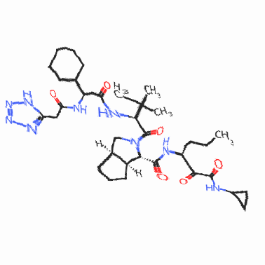 CCC[C@H](NC(=O)[C@@H]1[C@H]2CCC[C@H]2CN1C(=O)[C@@H](NC(=O)[C@@H](NC(=O)Cc1nnn[nH]1)C1CCCCC1)C(C)(C)C)C(=O)C(=O)NC1CC1